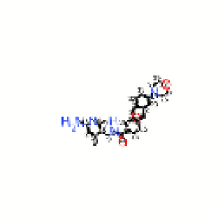 Cc1cc(N)nc(C)c1CNC(=O)c1ccc2c(c1)c1oc2c2cc(N3CCOCC3)ccc21